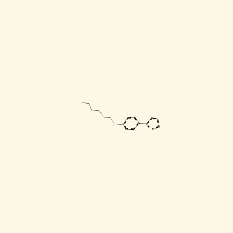 NCCCCCNc1ccc(-c2cccs2)cc1